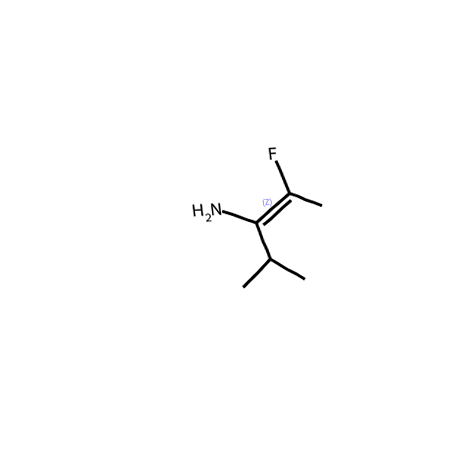 C/C(F)=C(/N)C(C)C